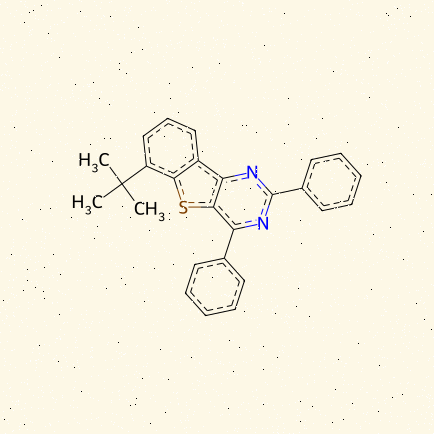 CC(C)(C)c1cccc2c1sc1c(-c3ccccc3)nc(-c3ccccc3)nc12